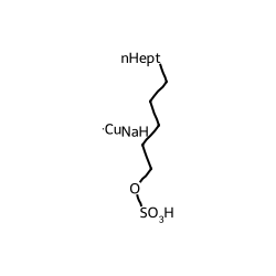 CCCCCCCCCCCCOS(=O)(=O)O.[Cu].[NaH]